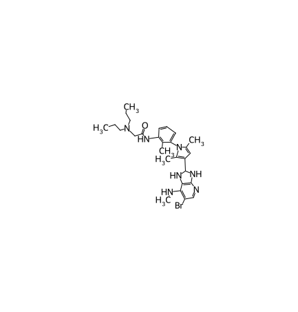 CCCN(CCC)CC(=O)Nc1cccc(-n2c(C)cc(C3Nc4ncc(Br)c(NC)c4N3)c2C)c1C